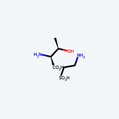 C[C@@H](O)[C@H](N)C(=O)O.NCCS(=O)(=O)O